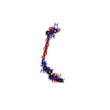 C[C@H]1CN(CCOCCOCCOCCOCCOCCNc2cccc3c2C(=O)N(C2CCC(=O)NC2=O)C3=O)CCN1c1ccc(Nc2cc(-c3ccnc(N4CCn5c(cc6c5CC(C)(C)C6)C4=O)c3CO)cn(C)c2=O)nc1